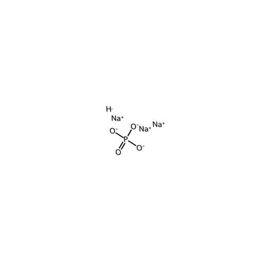 O=P([O-])([O-])[O-].[H].[Na+].[Na+].[Na+]